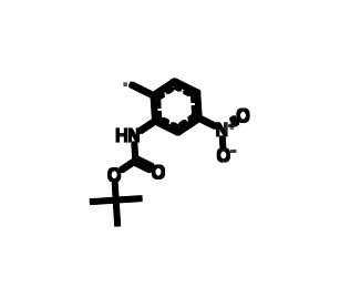 [CH2]c1ccc([N+](=O)[O-])cc1NC(=O)OC(C)(C)C